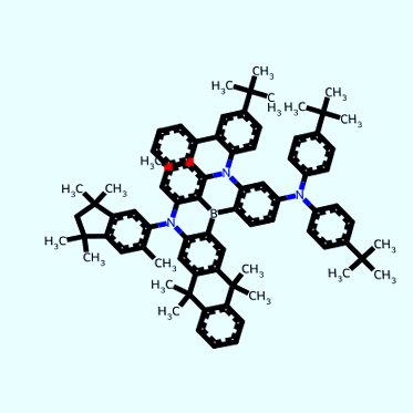 Cc1cc2c3c(c1)N(c1ccc(C(C)(C)C)cc1-c1ccccc1)c1cc(N(c4ccc(C(C)(C)C)cc4)c4ccc(C(C)(C)C)cc4)ccc1B3c1cc3c(cc1N2c1cc2c(cc1C)C(C)(C)CC2(C)C)C(C)(C)c1ccccc1C3(C)C